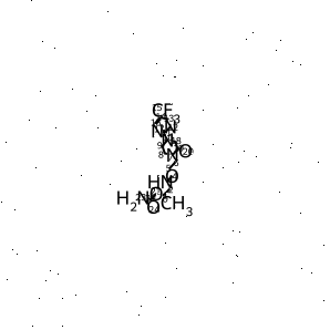 CC(CNOCCN1CCN(c2ncc(C(F)(F)F)cn2)CC1=O)OC(N)=O